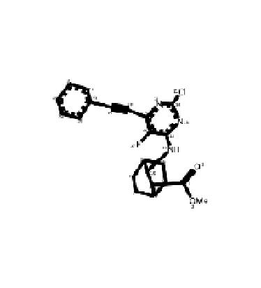 COC(=O)C1C2CCC(CC2)C1Nc1nc(Cl)nc(C#Cc2ccccc2)c1F